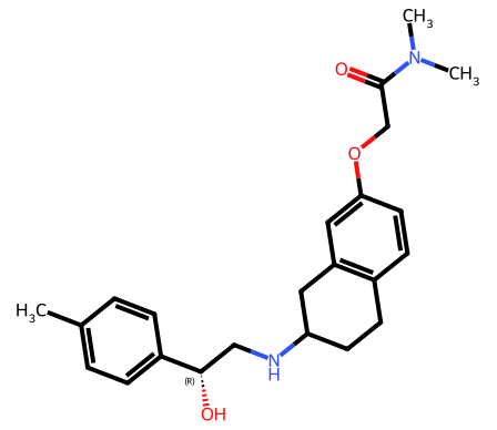 Cc1ccc([C@@H](O)CNC2CCc3ccc(OCC(=O)N(C)C)cc3C2)cc1